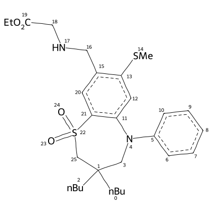 CCCCC1(CCCC)CN(c2ccccc2)c2cc(SC)c(CNCC(=O)OCC)cc2S(=O)(=O)C1